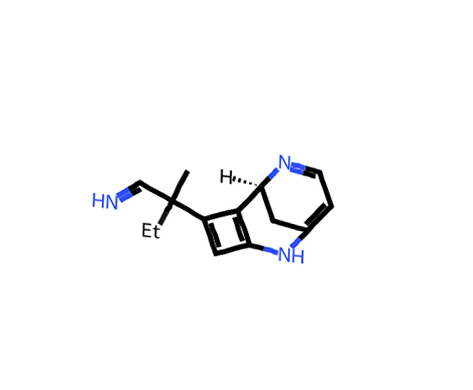 CCC(C)(C=N)C1=CC2=C1[C@@H]1CC(=CC=N1)N2